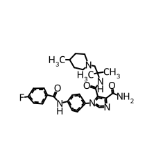 CC1CCN(CC(C)(C)NC(=O)c2c(C(N)=O)ncn2-c2ccc(NC(=O)c3ccc(F)cc3)cc2)CC1